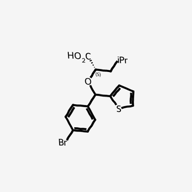 CC(C)C[C@H](OC(c1ccc(Br)cc1)c1cccs1)C(=O)O